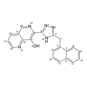 Oc1c(-c2nnc(Cc3cccc4ccccc34)[nH]2)ncc2cccnc12